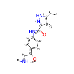 CCc1[nH]nc(C(=O)Nc2ccc(C(CNC)OC)cc2)c1C